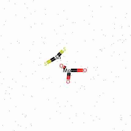 [O]=[Mo](=[O])=[O].[S]=[Sn]=[S]